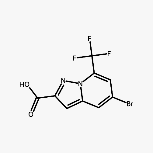 O=C(O)c1cc2cc(Br)cc(C(F)(F)F)n2n1